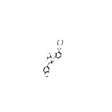 CC(C)(C)[C@@H](Nc1n[s+]([O-])nc1Nc1cccc(S(=O)(=O)N2CCOCC2)c1O)c1ccc2c(c1)OCO2